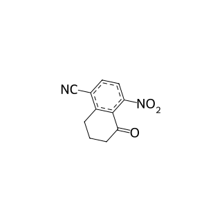 N#Cc1ccc([N+](=O)[O-])c2c1CCCC2=O